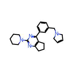 C1=CCN(Cc2cccc(-c3nc(N4CCCCC4)nc4c3CCC4)c2)C1